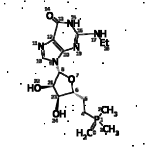 C=P(C)(C)CC[C@H]1O[C@@H](n2cnc3c(=O)[nH]c(NCC)nc32)[C@H](O)[C@@H]1O